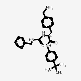 CC(C)(C)c1ccc(NC(=O)[C@H](Cc2ccc(CN)cc2)NC(=O)NCc2ccccc2)cc1